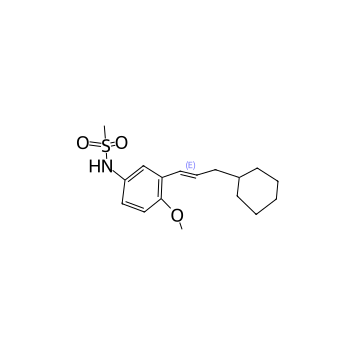 COc1ccc(NS(C)(=O)=O)cc1/C=C/CC1CCCCC1